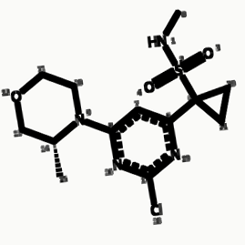 CNS(=O)(=O)C1(c2cc(N3CCOC[C@H]3C)nc(Cl)n2)CC1